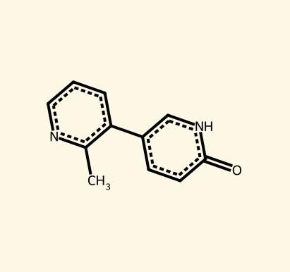 Cc1ncccc1-c1ccc(=O)[nH]c1